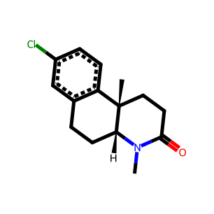 CN1C(=O)CC[C@@]2(C)c3ccc(Cl)cc3CC[C@@H]12